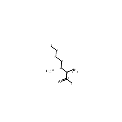 CCCCCC(N)C(C)=O.Cl